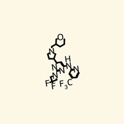 FC1(F)CN(c2nc(Nc3cc(C(F)(F)F)ccn3)cc(C3CCN(CC4CCCOC4)C3)n2)C1